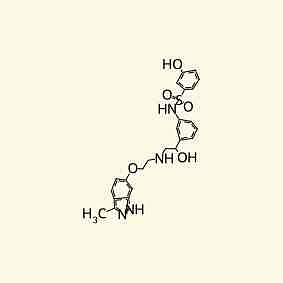 Cc1n[nH]c2cc(OCCNCC(O)c3cccc(NS(=O)(=O)c4cccc(O)c4)c3)ccc12